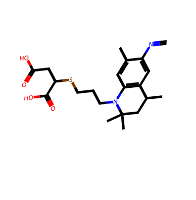 C=Nc1cc2c(cc1C)N(CCCSC(CC(=O)O)C(=O)O)C(C)(C)CC2C